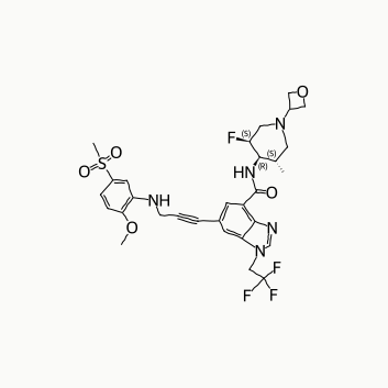 COc1ccc(S(C)(=O)=O)cc1NCC#Cc1cc(C(=O)N[C@@H]2[C@@H](C)CN(C3COC3)C[C@@H]2F)c2ncn(CC(F)(F)F)c2c1